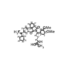 COc1ccc([C@@H](CCCNB(C)O)N2C(=O)c3cccc(N4CCN([C@H](C)c5ccccc5)CC4)c3C2=O)cc1OC